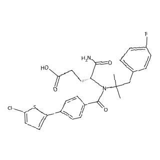 CC(C)(Cc1ccc(F)cc1)N(C(=O)c1ccc(-c2ccc(Cl)s2)cc1)[C@H](CCC(=O)O)C(N)=O